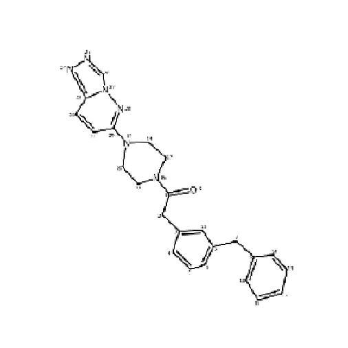 O=C(Cc1cccc(Cc2ccccc2)c1)N1CCN(c2ccc3nncn3n2)CC1